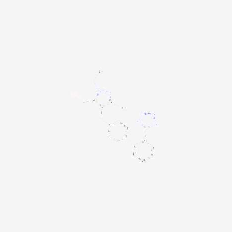 CCCCc1nn(CC(C)C)c(CO)c1Cc1ccc(-c2ccccc2-c2nnn[nH]2)cc1